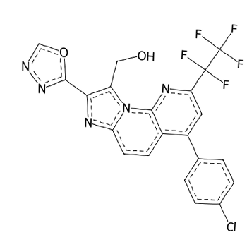 OCc1c(-c2nnco2)nc2ccc3c(-c4ccc(Cl)cc4)cc(C(F)(F)C(F)(F)F)nc3n12